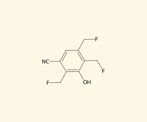 N#Cc1cc(CF)c(CF)c(O)c1CF